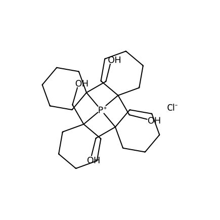 OCC1([P+](C2(CO)CCCCC2)(C2(CO)CCCCC2)C2(CO)CCCCC2)CCCCC1.[Cl-]